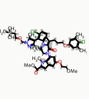 COCCOc1cc(N2C[C@@H](C)n3c(c(CCCOc4cc(C)c(Cl)c(C)c4)c4ccc(Cl)c(-c5c(C)nn(COCC[Si](C)(C)C)c5C)c43)C2=O)c2c(c1)cc(C(=O)OC)n2C